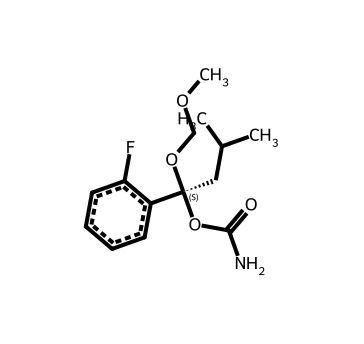 COCO[C@@](CC(C)C)(OC(N)=O)c1ccccc1F